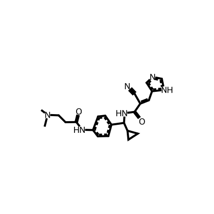 CN(C)CCC(=O)Nc1ccc(C(NC(=O)/C(C#N)=C/c2cnc[nH]2)C2CC2)cc1